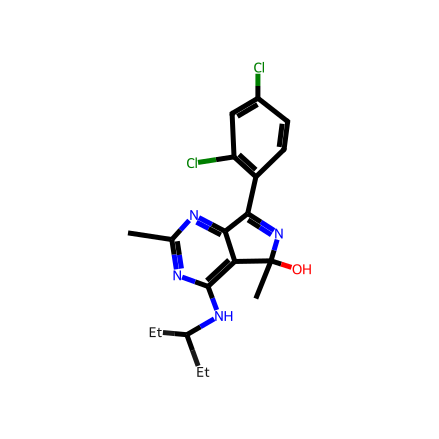 CCC(CC)Nc1nc(C)nc2c1C(C)(O)N=C2c1ccc(Cl)cc1Cl